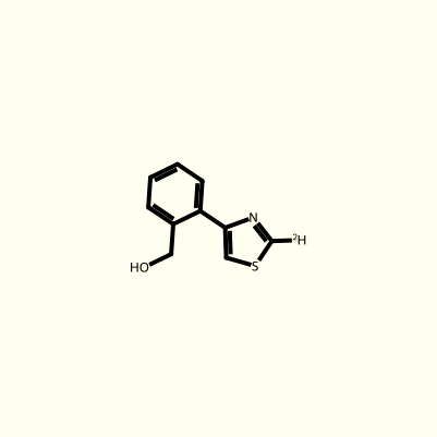 [2H]c1nc(-c2ccccc2CO)cs1